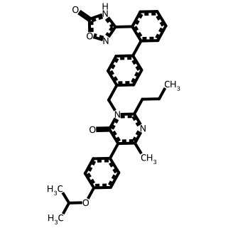 CCCc1nc(C)c(-c2ccc(OC(C)C)cc2)c(=O)n1Cc1ccc(-c2ccccc2-c2noc(=O)[nH]2)cc1